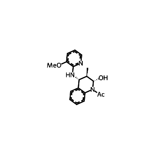 COc1cccnc1N[C@H]1c2ccccc2N(C(C)=O)[C@@H](O)[C@@H]1C